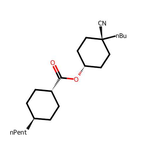 CCCCC[C@H]1CC[C@H](C(=O)O[C@H]2CC[C@@](C#N)(CCCC)CC2)CC1